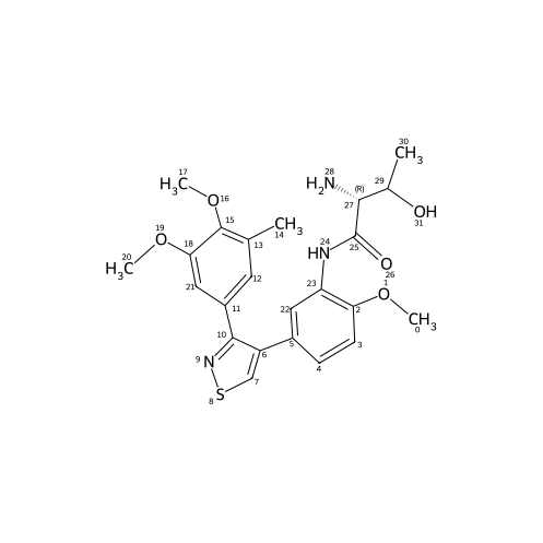 COc1ccc(-c2csnc2-c2cc(C)c(OC)c(OC)c2)cc1NC(=O)[C@H](N)C(C)O